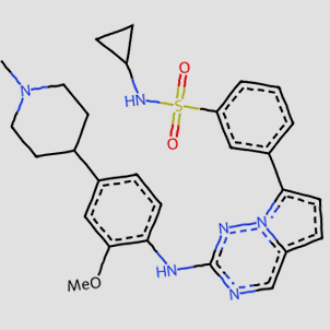 COc1cc(C2CCN(C)CC2)ccc1Nc1ncc2ccc(-c3cccc(S(=O)(=O)NC4CC4)c3)n2n1